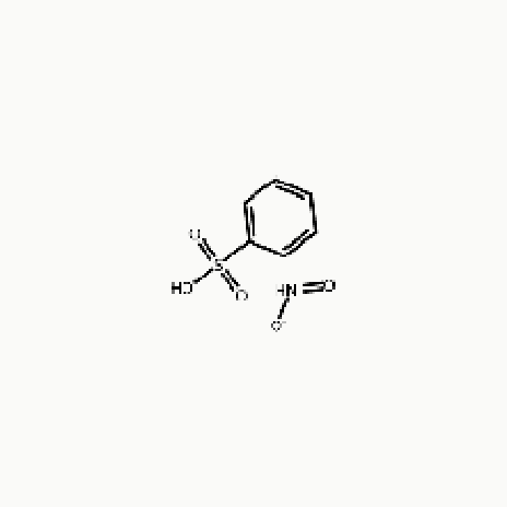 O=S(=O)(O)c1c[c]ccc1.O=[NH+][O-]